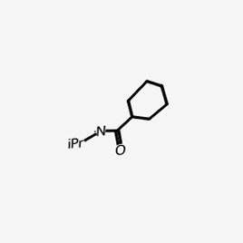 CC(C)[N]C(=O)C1CCCCC1